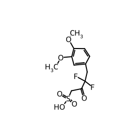 COc1ccc(CC(F)(F)C(=O)CS(=O)(=O)O)cc1OC